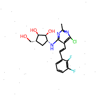 Cc1nc(Cl)c(/C=C/c2cccc(F)c2F)c(N[C@@H]2C[C@H](CO)[C@@H](O)[C@H]2O)n1